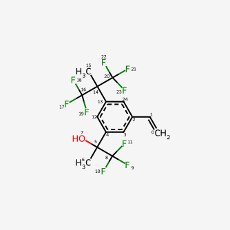 C=Cc1cc(C(C)(O)C(F)(F)F)cc(C(C)(C(F)(F)F)C(F)(F)F)c1